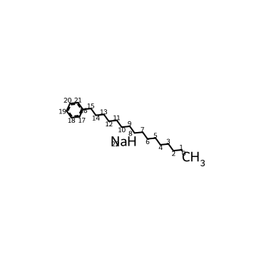 CCCCCCCCCCCCCCCCc1ccccc1.[NaH]